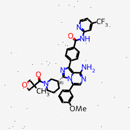 COc1cccc(-c2cnc(N)c3c(-c4ccc(C(=O)Nc5cc(C(F)(F)F)ccn5)cc4)nc([C@@H]4CCCN(C(=O)C5(C)COC5)C4)n23)c1